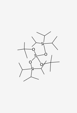 CC(C)[Si]([O][Ti]([O]C(C)(C)C)([O]C(C)(C)C)[O][Si](C(C)C)(C(C)C)C(C)C)(C(C)C)C(C)C